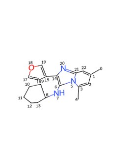 Cc1cc(C)n2c(NC3CCCCC3)c(-c3ccoc3)nc2c1